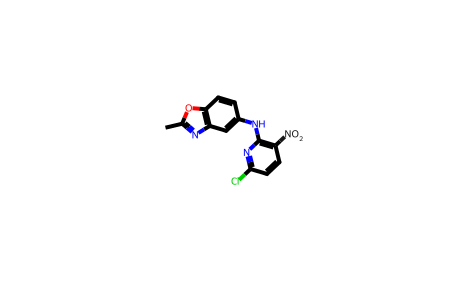 Cc1nc2cc(Nc3nc(Cl)ccc3[N+](=O)[O-])ccc2o1